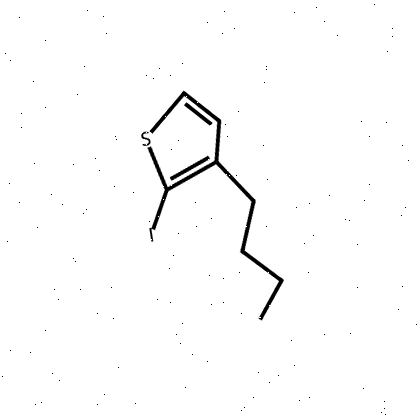 CCCCc1ccsc1I